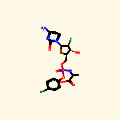 CC(NP(=O)(OC[C@H]1S[C@@H](n2ccc(N)nc2=O)[C@@H](F)[C@@H]1O)Oc1ccc(Br)cc1)C(=O)O